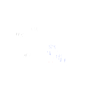 CC(C)CCC(C)CCN(N)C(=O)NN